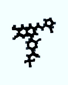 C[C@@H]1CN(C(=O)OC(C)(C)C)CCN1c1nc(OC[C@@H]2CCCN2C)nc2nc(Cl)c(F)cc12